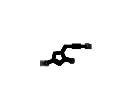 CCC#CCC1CC(O)=CC1=O